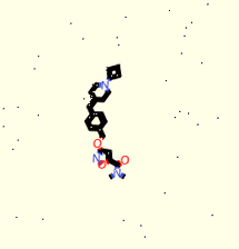 CN(C)C(=O)c1cc(OCc2ccc(C=C3CCN(C4CCC4)CC3)cc2)no1